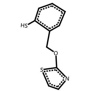 Sc1ccccc1COc1nccs1